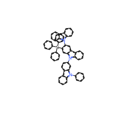 c1ccc(-n2c3ccccc3c3ccc(-n4c5ccccc5c5cc(-n6c7ccccc7c7ccccc76)c([Si](c6ccccc6)(c6ccccc6)c6ccccc6)cc54)cc32)cc1